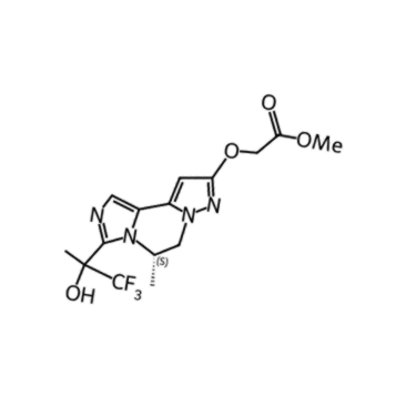 COC(=O)COc1cc2n(n1)C[C@H](C)n1c-2cnc1C(C)(O)C(F)(F)F